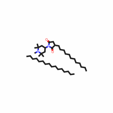 CCCCCCCCCCCCC1CC(=O)N(C2CC(C)(C)N(C)C(C)(C)C2)C1=O.CCCCCCCCCCCCCCCC